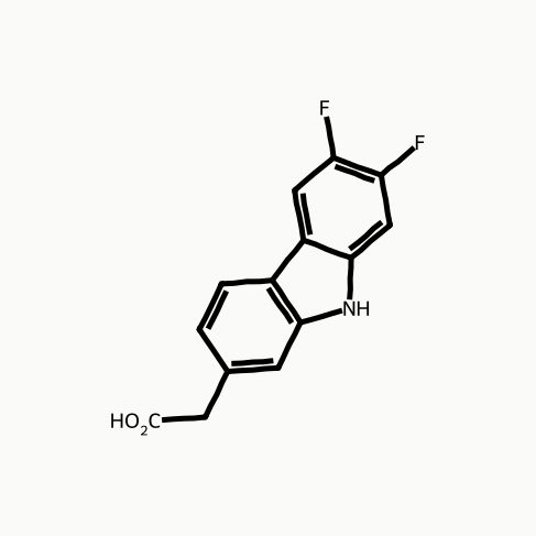 O=C(O)Cc1ccc2c(c1)[nH]c1cc(F)c(F)cc12